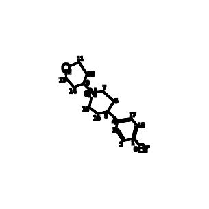 Brc1ccc(C2CCN(C3CCOCC3)CC2)cc1